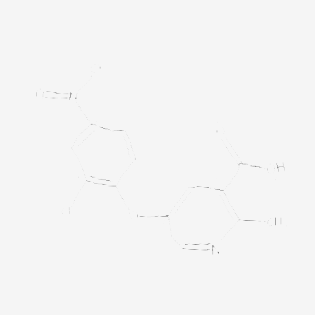 Cc1ncc(Oc2ccc([N+](=O)[O-])cc2Cl)cc1C(=O)O